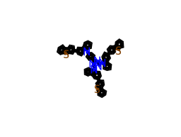 c1ccc2c(c1)sc1cc(-c3ccc4c(c3)c3ccccc3n4-c3ccc(-c4nc(-n5c6ccccc6c6cc(-c7ccc8c(c7)sc7ccccc78)ccc65)nc(-n5c6ccccc6c6cc(-c7ccc8c(c7)sc7ccccc78)ccc65)n4)cc3)ccc12